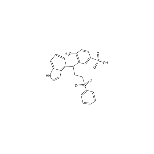 Cc1ccc(S(=O)(=O)O)cc1C(CCS(=O)(=O)c1ccccc1)c1cccc2[nH]ccc12